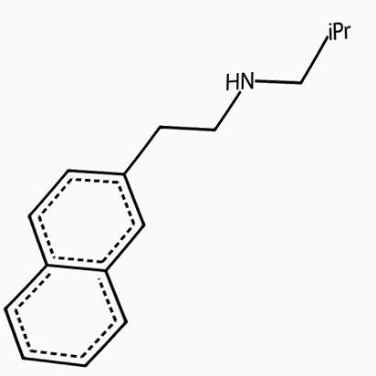 CC(C)CNCCc1ccc2ccccc2c1